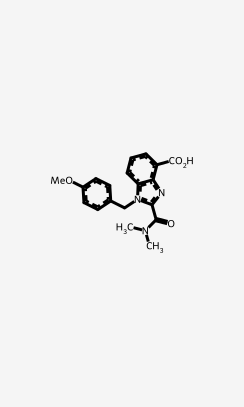 COc1ccc(Cn2c(C(=O)N(C)C)nc3c(C(=O)O)cccc32)cc1